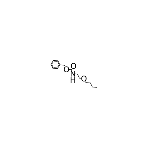 CCCCOCCNC(=O)OCc1ccccc1